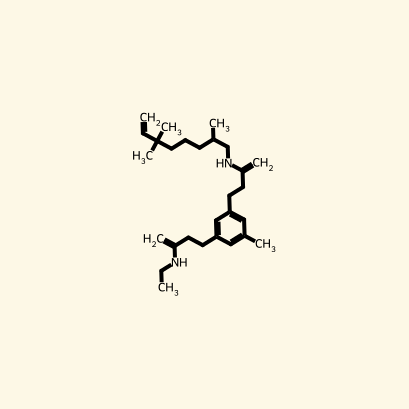 C=CC(C)(C)CCCC(C)CNC(=C)CCc1cc(C)cc(CCC(=C)NCC)c1